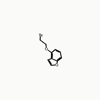 BrCCOc1cccc2occc12